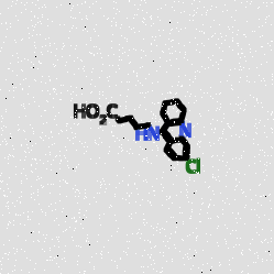 O=C(O)CCCCNc1c2c(nc3cc(Cl)ccc13)CCCC2